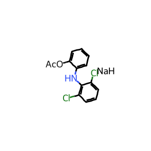 CC(=O)Oc1ccccc1Nc1c(Cl)cccc1Cl.[NaH]